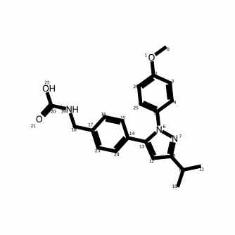 COc1ccc(-n2nc(C(C)C)cc2-c2ccc(CNC(=O)O)cc2)cc1